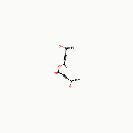 CCCC(Br)C#CC(=O)OC(=O)C#CC(Br)CCC